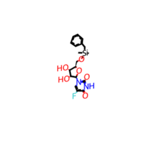 C[Si](C)(Cc1ccccc1)OC[C@H]1O[C@@H](n2cc(F)c(=O)[nH]c2=O)[C@H](O)[C@@H]1O